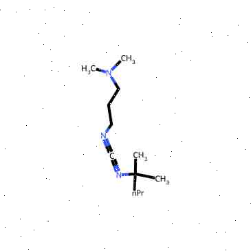 CCCC(C)(C)N=C=NCCCN(C)C